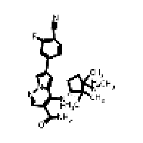 CNC1(C)CC[C@@H](Nc2c(C(N)=O)cnn3cc(-c4ccc(C#N)c(F)c4)cc23)C1(C)C